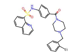 CCc1ccccc1CN1CCN(C(=O)c2ccc(NS(=O)(=O)c3cccc4cccnc34)cc2)CC1